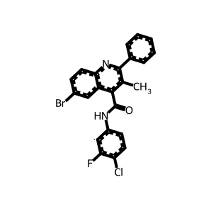 Cc1c(-c2ccccc2)nc2ccc(Br)cc2c1C(=O)Nc1[c]c(F)c(Cl)cc1